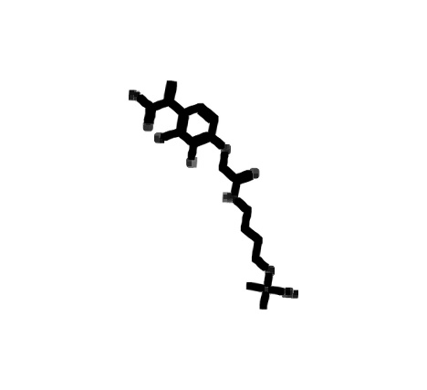 C=C(C(=O)CC)c1ccc(OCC(=O)NCCCCO[Si](C)(C)C(C)(C)C)c(Cl)c1Cl